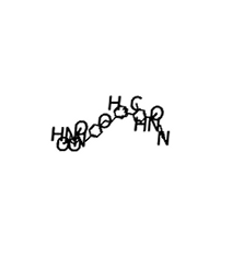 Cc1cc(C(=O)NCC#N)ccc1-c1cccc(COc2ccc(Cn3oc(=O)[nH]c3=O)cc2)c1